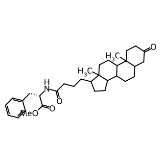 COC(=O)[C@H](Cc1ccccc1)NC(=O)CCCC1CCC2C3CCC4CC(=O)CCC4(C)C3CCC12C